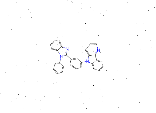 c1ccc(-n2c(-c3cccc(-n4c5ccccc5c5ncccc54)c3)nc3ccccc32)cc1